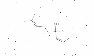 C/C=C\[C@](C)(O)CCC=C(C)C